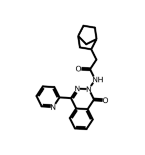 O=C(CC1CC2CCC1C2)Nn1nc(-c2ccccn2)c2ccccc2c1=O